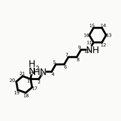 NC1(CNCCCCCCNC2CCCCC2)CCCCC1